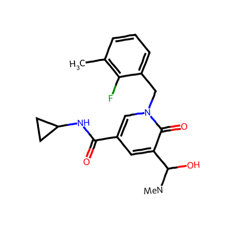 CNC(O)c1cc(C(=O)NC2CC2)cn(Cc2cccc(C)c2F)c1=O